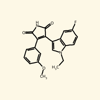 CCn1cc(C2=C(c3cccc(OC)c3)C(=O)NC2=O)c2cc(F)ccc21